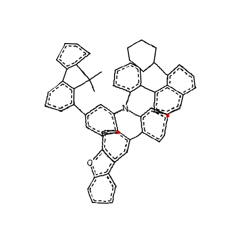 CC1(C)c2ccccc2-c2cccc(-c3cccc(N(c4ccccc4-c4ccc5oc6ccccc6c5c4)c4ccccc4-c4cccc5cccc(C6CCCCC6)c45)c3)c21